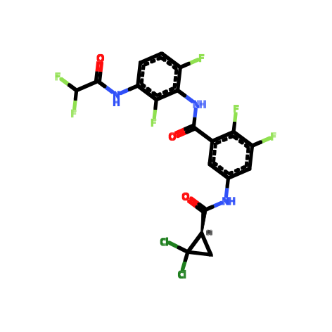 O=C(Nc1c(F)ccc(NC(=O)C(F)F)c1F)c1cc(NC(=O)[C@H]2CC2(Cl)Cl)cc(F)c1F